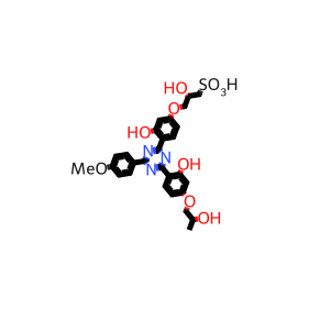 COc1ccc(-c2nc(-c3ccc(OCC(C)O)cc3O)nc(-c3ccc(OCC(O)CS(=O)(=O)O)cc3O)n2)cc1